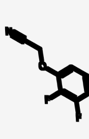 N#CCOc1c[c]cc(F)c1F